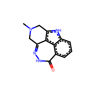 CN1CC2=NNC(=O)c3cccc4[nH]c(c2c34)C1